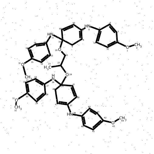 COc1ccc(NC2=CCC(Nc3ccc(OC)cc3)(OCC(C)OC3(Nc4ccc(OC)cc4)C=CC(Nc4ccc(OC)cc4)=CC3)C=C2)cc1